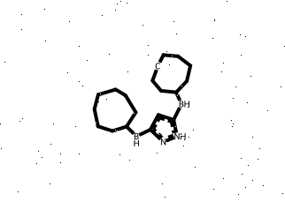 B(c1cc(BC2CCCCCCC2)[nH]n1)C1CCCCCCC1